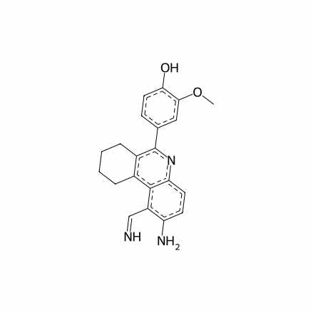 COc1cc(-c2nc3ccc(N)c(C=N)c3c3c2CCCC3)ccc1O